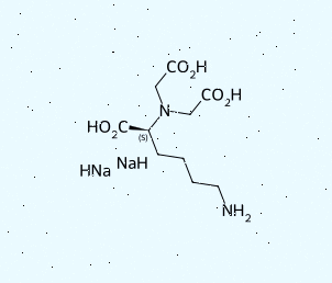 NCCCC[C@@H](C(=O)O)N(CC(=O)O)CC(=O)O.[NaH].[NaH]